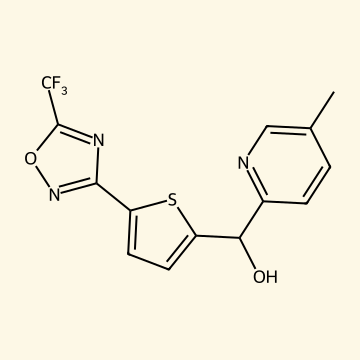 Cc1ccc(C(O)c2ccc(-c3noc(C(F)(F)F)n3)s2)nc1